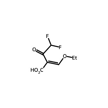 CCO/C=C(/C(=O)O)C(=O)C(F)F